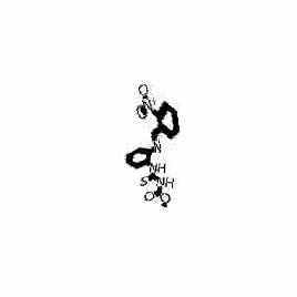 COC(=O)NC(=S)Nc1ccccc1N=Cc1ccccc1[N+](=O)[O-]